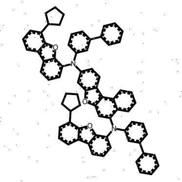 c1ccc(-c2cccc(N(c3ccc4c(c3)oc3cc(N(c5cccc(-c6ccccc6)c5)c5cccc6c5oc5c(C7CCCC7)cccc56)c5ccccc5c34)c3cccc4c3oc3c(C5CCCC5)cccc34)c2)cc1